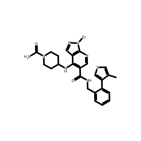 CCn1ncc2c(NC3CCN(C(N)=O)CC3)c(C(=O)NCc3ccccc3-c3cscc3C)cnc21